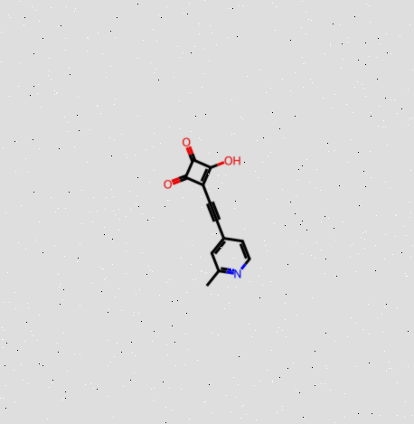 Cc1cc(C#Cc2c(O)c(=O)c2=O)ccn1